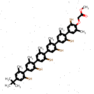 COC(=O)COc1c(C)cc(-c2c(C)cc(-c3c(C)cc(-c4c(C)cc(-c5c(C)cc(-c6c(C)cc(C(C)(C)C)cc6S)cc5S)cc4S)cc3S)cc2S)cc1S